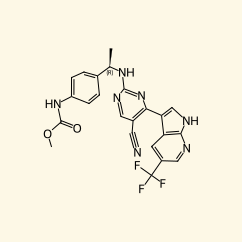 COC(=O)Nc1ccc([C@@H](C)Nc2ncc(C#N)c(-c3c[nH]c4ncc(C(F)(F)F)cc34)n2)cc1